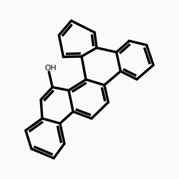 Oc1cc2ccccc2c2ccc3c4ccccc4c4ccccc4c3c12